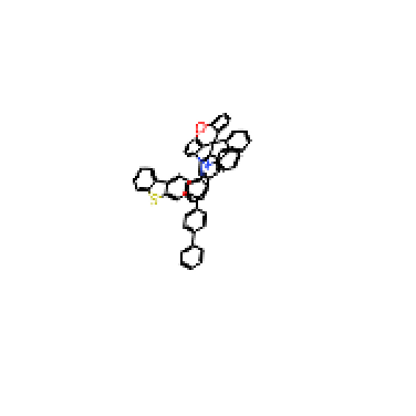 c1ccc(-c2ccc(C(Cc3ccc4c(c3)-c3ccccc3C43c4ccccc4Oc4cccc(N(c5ccccc5)c5ccccc5)c43)c3ccc4c(c3)sc3ccccc34)cc2)cc1